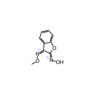 CO/N=C1\C(=N\O)Oc2ccccc21